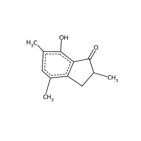 Cc1cc(C)c2c(c1O)C(=O)C(C)C2